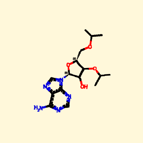 CC(C)OC[C@H]1O[C@@H](n2cnc3c(N)ncnc32)C(O)C1OC(C)C